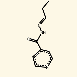 CCC=NNC(=O)c1ccncc1